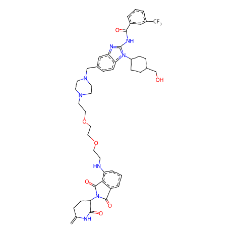 C=C1CCC(N2C(=O)c3cccc(NCCOCCOCCN4CCN(Cc5ccc6c(c5)nc(NC(=O)c5cccc(C(F)(F)F)c5)n6C5CCC(CO)CC5)CC4)c3C2=O)C(=O)N1